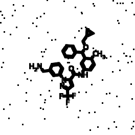 CC1C=CC(NC(=O)c2cc(C(F)(F)F)nn2-c2cccc(CN)c2)=CC1C(OCC1CC1)c1ccccc1